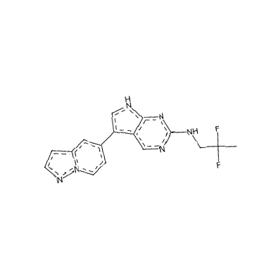 CC(F)(F)CNc1ncc2c(-c3ccn4nccc4c3)c[nH]c2n1